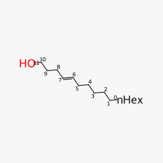 CCCCCCCCCCCC=CCCCO